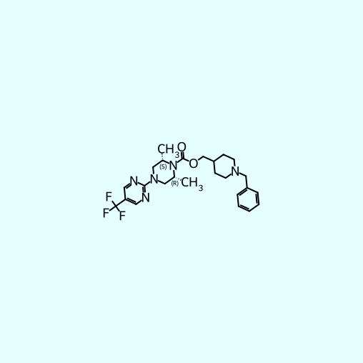 C[C@@H]1CN(c2ncc(C(F)(F)F)cn2)C[C@H](C)N1C(=O)OCC1CCN(Cc2ccccc2)CC1